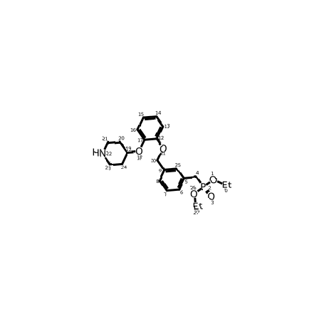 CCOP(=O)(Cc1cccc(COc2ccccc2OC2CCNCC2)c1)OCC